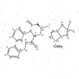 C=CC[C@@H](C[C@H]1O[C@@H](OC)C2OC(C)(C)OC21)CN(Cc1ccccc1)C(=O)OCc1ccccc1